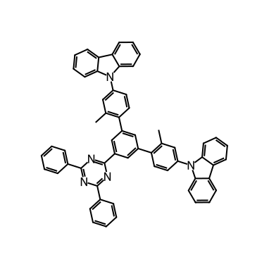 Cc1cc(-n2c3ccccc3c3ccccc32)ccc1-c1cc(-c2nc(-c3ccccc3)nc(-c3ccccc3)n2)cc(-c2ccc(-n3c4ccccc4c4ccccc43)cc2C)c1